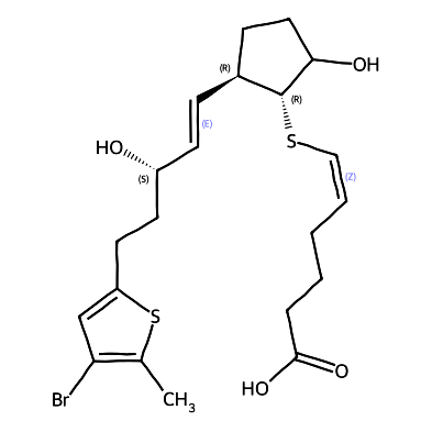 Cc1sc(CC[C@H](O)/C=C/[C@H]2CCC(O)[C@@H]2S/C=C\CCCC(=O)O)cc1Br